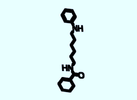 O=C(NCCCCCCNc1ccccc1)C1=CCCCC1